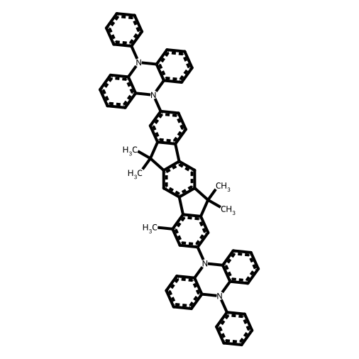 Cc1cc(N2c3ccccc3N(c3ccccc3)c3ccccc32)cc2c1-c1cc3c(cc1C2(C)C)-c1ccc(N2c4ccccc4N(c4ccccc4)c4ccccc42)cc1C3(C)C